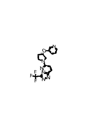 FC(F)(F)c1nnc2ccc(N3CC[C@H](Oc4cccnc4)C3)nn12